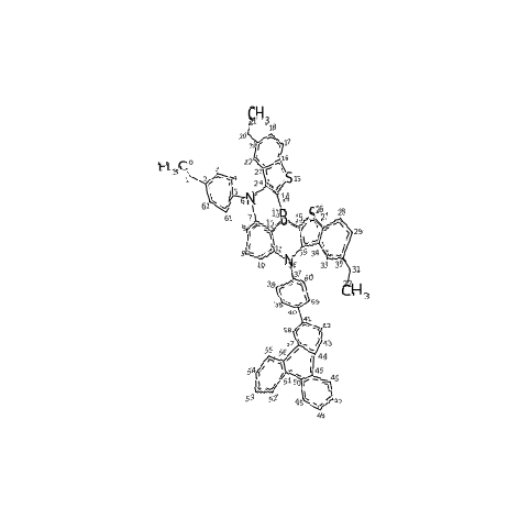 CCc1ccc(N2c3cccc4c3B(c3sc5ccc(CC)cc5c32)c2sc3ccc(CC)cc3c2N4c2ccc(-c3ccc4c5ccccc5c5ccccc5c4c3)cc2)cc1